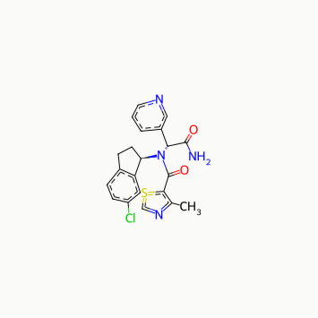 Cc1ncsc1C(=O)N([C@@H]1CCc2ccc(Cl)cc21)[C@@H](C(N)=O)c1cccnc1